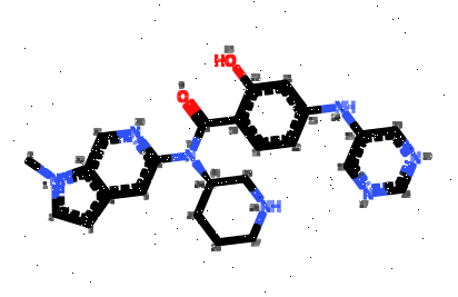 Cn1ccc2cc(N(C(=O)c3ccc(Nc4cncnc4)cc3O)[C@@H]3CCCNC3)ncc21